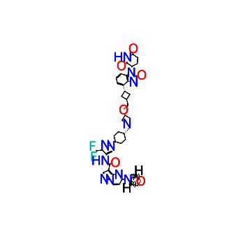 Cn1c(=O)n(C2CCC(=O)NC2=O)c2cccc([C@H]3C[C@H](COC4CN(C[C@H]5CC[C@H](n6cc(NC(=O)c7cnn8ccc(N9C[C@H]%10C[C@@H]9CO%10)nc78)c(C(F)F)n6)CC5)C4)C3)c21